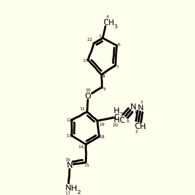 C#N.C#N.Cc1ccc(COc2ccc(C=NN)cc2C)cc1